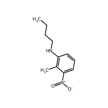 CCCCNc1cccc([N+](=O)[O-])c1C